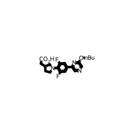 CCCCOc1cncc(-c2cc(F)c(N3CCC(CC(=O)O)C3)c(F)c2)n1